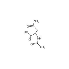 CC(=O)NC(CC(N)=O)C(=O)O